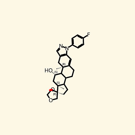 C[C@]12Cc3cnn(-c4ccc(F)cc4)c3C=C1CCC1C2[C@@H](O)C[C@@]2(C)C1CC[C@@]21COCC12CCOC2